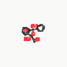 OC(OC(O)(c1ccccc1)C1CO1)(c1ccccc1)C1CO1